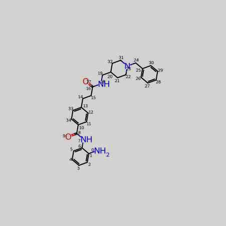 Nc1ccccc1NC(=O)c1ccc(CCC(=O)NCC2CCN(Cc3ccccc3)CC2)cc1